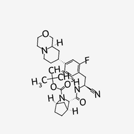 CC(C)(C)OC(=O)N1[C@@H]2CC[C@@H](C2)[C@H]1C(=O)N[C@H](C#N)Cc1ccc([C@@H]2CCN3CCOC[C@H]3C2)cc1F